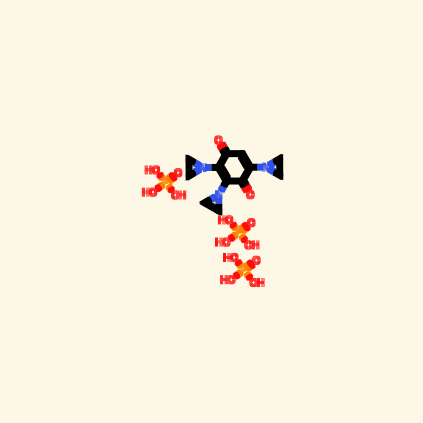 O=C1C=C(N2CC2)C(=O)C(N2CC2)=C1N1CC1.O=P(O)(O)O.O=P(O)(O)O.O=P(O)(O)O